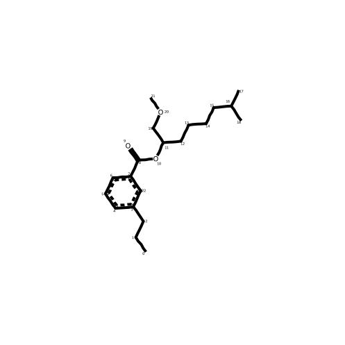 CCCc1cccc(C(=O)OC(CCCCC(C)C)COC)c1